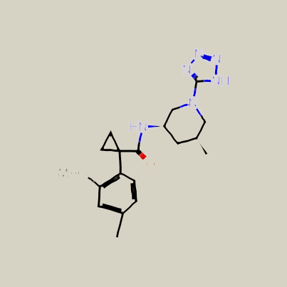 COc1cc(C)ccc1C1(C(=O)N[C@@H]2C[C@H](C)CN(c3nnn[nH]3)C2)CC1